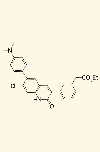 CCOC(=O)Cc1cccc(-c2cc3cc(-c4ccc(N(C)C)cc4)c(Cl)cc3[nH]c2=O)c1